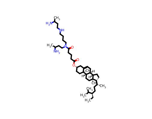 CC[C@H](CC[C@@H](C)[C@H]1CC[C@H]2[C@@H]3CC=C4C[C@@H](OC(=O)CCCC(=O)N(CCCCNCCC(C)N)CCC(C)N)CC[C@]4(C)[C@H]3CC[C@]12C)C(C)C